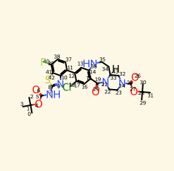 CC(C)(C)OC(=O)Nc1nc2c(-c3cc4c(cc3Cl)C(=O)N3CCN(C(=O)OC(C)(C)C)C[C@@H]3CCN4)ccc(F)c2s1